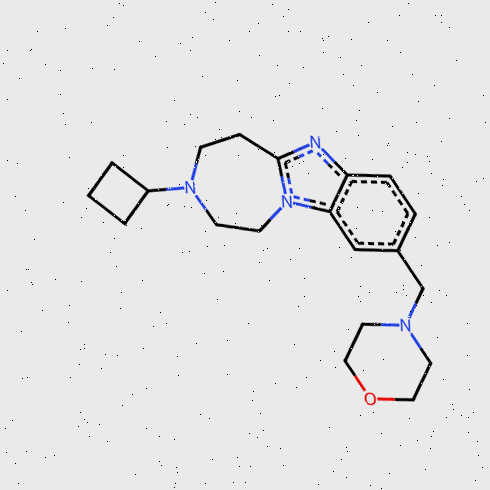 c1cc2nc3n(c2cc1CN1CCOCC1)CCN(C1CCC1)CC3